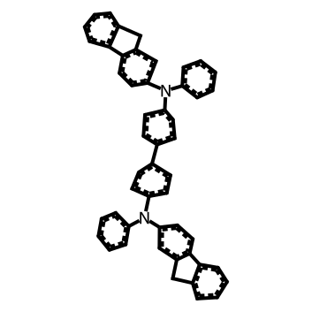 c1ccc(N(c2ccc(-c3ccc(N(c4ccccc4)c4ccc5c(c4)Cc4ccccc4-5)cc3)cc2)c2ccc3c(c2)Cc2ccccc2-3)cc1